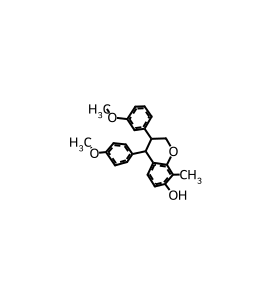 COc1ccc(C2c3ccc(O)c(C)c3OCC2c2cccc(OC)c2)cc1